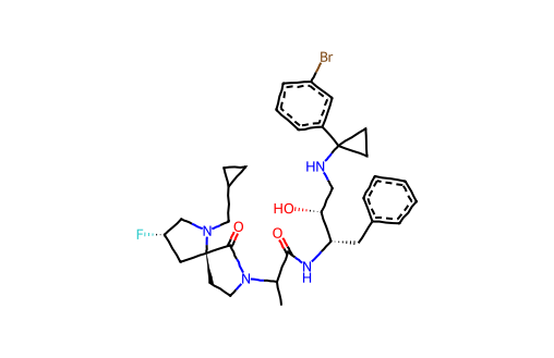 CC(C(=O)N[C@@H](Cc1ccccc1)[C@H](O)CNC1(c2cccc(Br)c2)CC1)N1CC[C@]2(C[C@H](F)CN2CC2CC2)C1=O